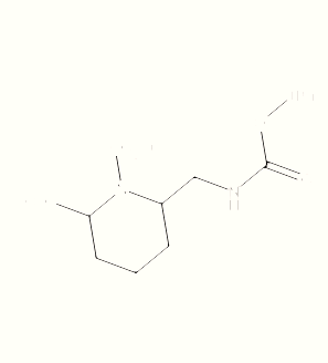 CCOC(=O)N1C(CNC(=O)OC(C)(C)C)CCCC1C(=O)O